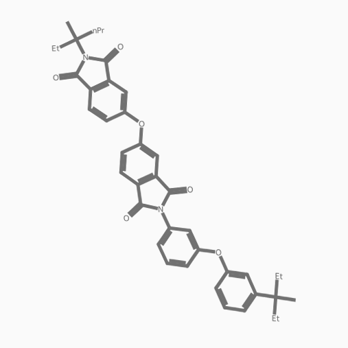 CCCC(C)(CC)N1C(=O)c2ccc(Oc3ccc4c(c3)C(=O)N(c3cccc(Oc5cccc(C(C)(CC)CC)c5)c3)C4=O)cc2C1=O